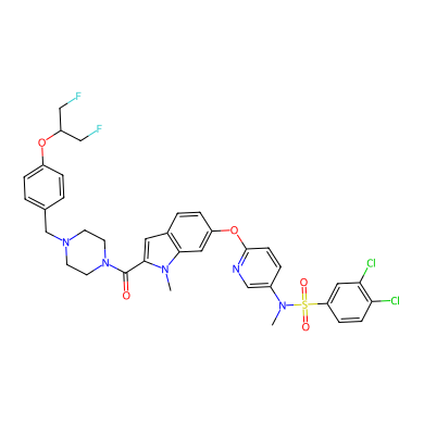 CN(c1ccc(Oc2ccc3cc(C(=O)N4CCN(Cc5ccc(OC(CF)CF)cc5)CC4)n(C)c3c2)nc1)S(=O)(=O)c1ccc(Cl)c(Cl)c1